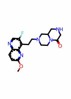 COc1ccc2ncc(F)c(CCN3CCN4C(=O)CNCC4C3)c2n1